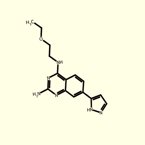 CCOCCNc1nc(N)nc2cc(-c3ccn[nH]3)ccc12